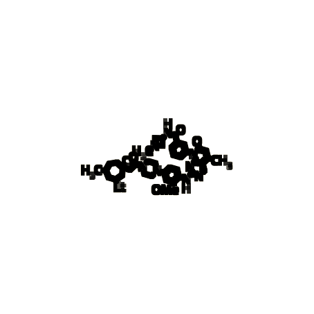 CCC1CC(C)CCC(C)(CC(=O)N2CCN(c3ccc(Nc4ncc5c(C)cc(=O)n(-c6cccc(C(=O)NC7CN(C)C7)c6)c5n4)c(OC)c3)CC2)C1